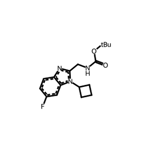 CC(C)(C)OC(=O)NCc1nc2ccc(F)cc2n1C1CCC1